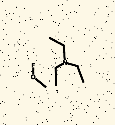 CCN(CC)CC.COF